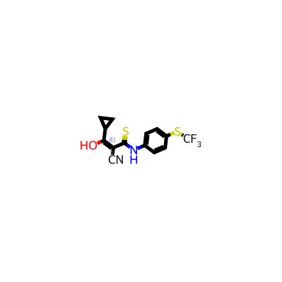 N#C/C(C(=S)Nc1ccc(SC(F)(F)F)cc1)=C(\O)C1CC1